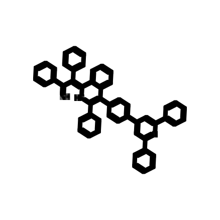 N=C(/C(=C1\NC(c2ccccc2)=C(c2ccc(-c3cc(-c4ccccc4)nc(-c4ccccc4)c3)cc2)c2ccccc21)c1ccccc1)c1ccccc1